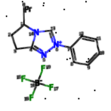 CC(C)C1CCc2n[n+](-c3ccccc3)cn21.F[B-](F)(F)F